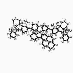 CC(C)(C)C12CCCCC1(C)c1cc(-c3ccc4c(c3)C3(c5cc(-c6ccc7c(c6)C6(C)CCCCC6(C(C)(C)C)N7c6ccccc6)ccc5-4)c4ccccc4-c4c3cc3ccc5cccc6ccc4c3c56)ccc1N2c1ccccc1